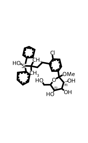 COC1(c2ccc(Cl)c(CCC(C)(C)[Si](O)(c3ccccc3)c3ccccc3)c2)OC(CO)[C@@H](O)C(O)[C@H]1O